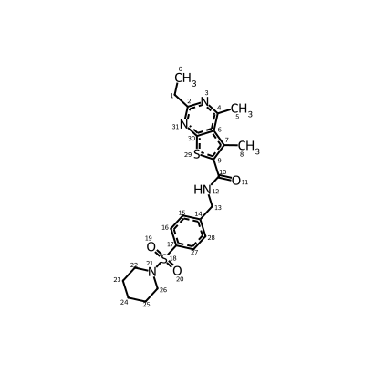 CCc1nc(C)c2c(C)c(C(=O)NCc3ccc(S(=O)(=O)N4CCCCC4)cc3)sc2n1